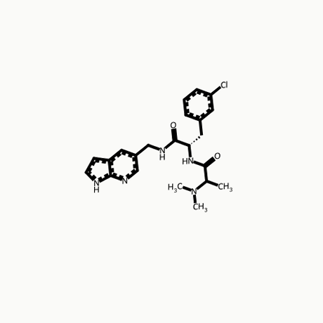 CC(C(=O)N[C@@H](Cc1cccc(Cl)c1)C(=O)NCc1cnc2[nH]ccc2c1)N(C)C